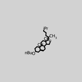 [CH2]CCCO[C@H]1CC[C@@]2(C)C(=CCC3C2CC[C@@]2(C)C3CC[C@@H]2[C@H](C)CCCC(C)C)C1